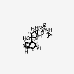 O=S(=O)(NC1CC1)NC1[C@H]2CC(O)(c3cc(Cl)cc4[nH]ncc34)C[C@@H]12